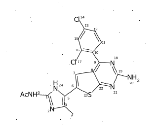 CC(=O)Nc1nc(C)c(-c2cc3c(-c4ccc(Cl)cc4Cl)nc(N)nc3s2)[nH]1